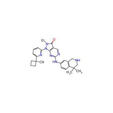 CCn1c(=O)c2cnc(Nc3ccc4c(c3)CNCC4(C)C)nc2n1-c1cccc(C2(C#N)CCC2)n1